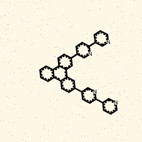 c1cncc(-c2ccc(-c3ccc4c5ccccc5c5ccc(-c6ccc(-c7cccnc7)nc6)cc5c4c3)cn2)c1